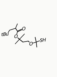 CC(CC(C)(C)C)C(=O)OC(C)(C)CCOC(C)(C)S